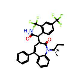 CC[C@H](C)N1C(=O)C(C(C(N)=O)c2ccc(C(F)(F)F)cc2C(F)(F)F)C=C(c2ccccc2)c2ccccc21